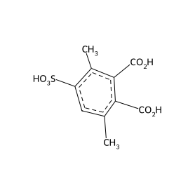 Cc1cc(S(=O)(=O)O)c(C)c(C(=O)O)c1C(=O)O